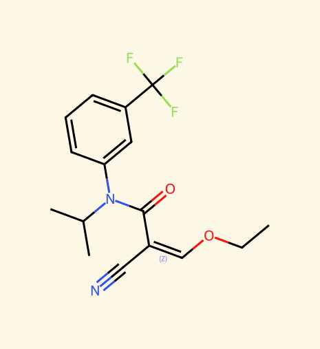 CCO/C=C(/C#N)C(=O)N(c1cccc(C(F)(F)F)c1)C(C)C